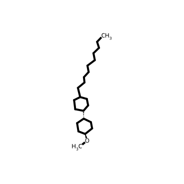 CCCCCCCCCCC1CCC([C@H]2CC[C@H](OC)CC2)CC1